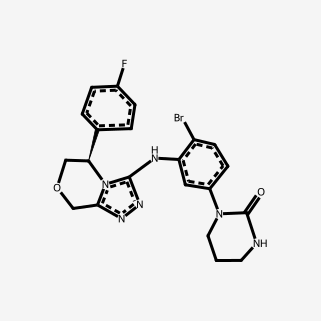 O=C1NCCCN1c1ccc(Br)c(Nc2nnc3n2[C@H](c2ccc(F)cc2)COC3)c1